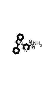 NS(=O)(=O)c1cncc(N2c3ccccc3CC2c2ccccc2)c1